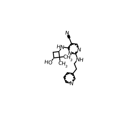 CC1(C)[C@@H](O)C[C@H]1Nc1nc(NCCc2cccnc2)ncc1C#N